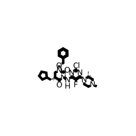 C[C@@H]1CN(C)CCN1c1nc(Cl)nc(NNC(=O)[C@H](CC2CCCC2)CN(C=O)OCc2ccccc2)c1F